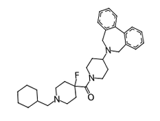 O=C(N1CCC(N2Cc3ccccc3-c3ccccc3C2)CC1)C1(F)CCN(CC2CCCCC2)CC1